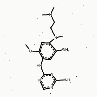 COc1cc(N(C)CCN(C)C)c(N)cc1Nc1ncnc(N)n1